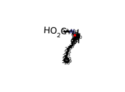 O=C(O)CCC/C=C\C[C@H]1[C@H]2CC[C@H](C2)[C@H]1COCCC#CCCCCCC1CCCCC1